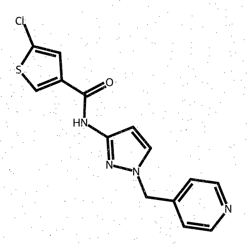 O=C(Nc1ccn(Cc2ccncc2)n1)c1csc(Cl)c1